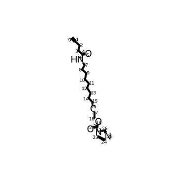 C#CCCC(=O)NCCCCCCCCCCCCOC(=O)n1ccnc1